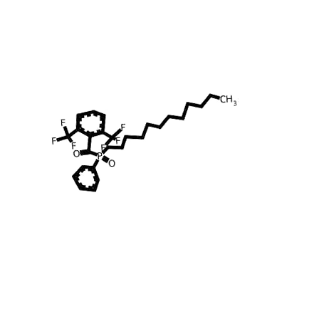 CCCCCCCCCCCCP(=O)(C(=O)c1c(C(F)(F)F)cccc1C(F)(F)F)c1ccccc1